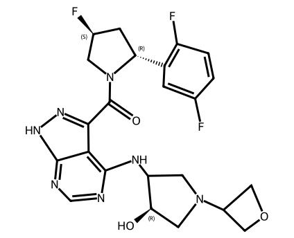 O=C(c1n[nH]c2ncnc(NC3CN(C4COC4)C[C@H]3O)c12)N1C[C@@H](F)C[C@@H]1c1cc(F)ccc1F